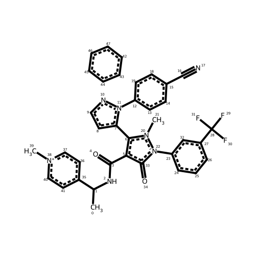 CC(NC(=O)c1c(-c2ccnn2-c2ccc(C#N)cc2)n(C)n(-c2cccc(C(F)(F)F)c2)c1=O)c1cc[n+](C)cc1.c1ccccc1